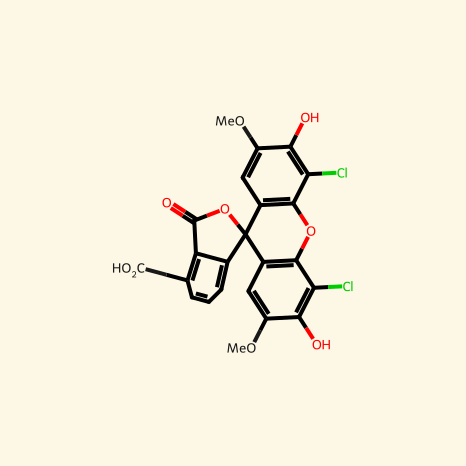 COc1cc2c(c(Cl)c1O)Oc1c(cc(OC)c(O)c1Cl)C21OC(=O)c2c(C(=O)O)cccc21